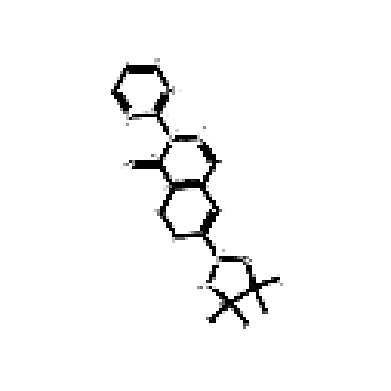 CC1(C)OB(C2=Cc3cnn(-c4ncccn4)c(=O)c3CC2)OC1(C)C